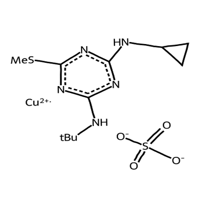 CSc1nc(NC2CC2)nc(NC(C)(C)C)n1.O=S(=O)([O-])[O-].[Cu+2]